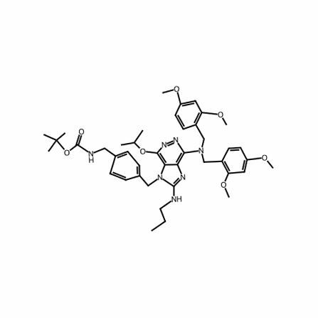 CCCNc1nc2c(N(Cc3ccc(OC)cc3OC)Cc3ccc(OC)cc3OC)nnc(OC(C)C)c2n1Cc1ccc(CNC(=O)OC(C)(C)C)cc1